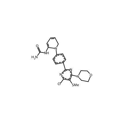 CSc1c(Cl)nc(-c2ccc(N3CC=CC=C3NC(N)=O)cc2)nc1N1CCOCC1